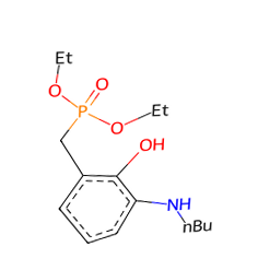 CCCCNc1cccc(CP(=O)(OCC)OCC)c1O